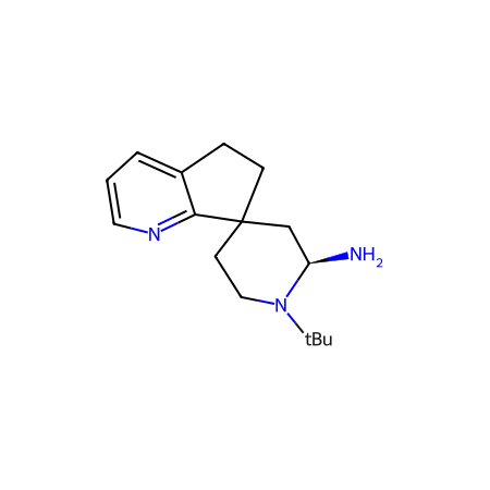 CC(C)(C)N1CCC2(CCc3cccnc32)C[C@H]1N